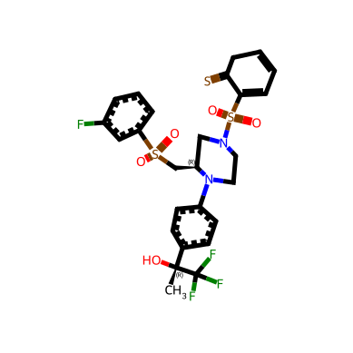 C[C@@](O)(c1ccc(N2CCN(S(=O)(=O)C3=CC=CCC3=S)C[C@@H]2CS(=O)(=O)c2cccc(F)c2)cc1)C(F)(F)F